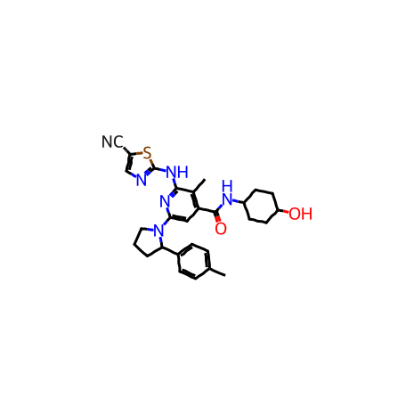 Cc1ccc(C2CCCN2c2cc(C(=O)NC3CCC(O)CC3)c(C)c(Nc3ncc(C#N)s3)n2)cc1